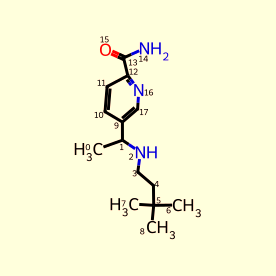 CC(NCCC(C)(C)C)c1ccc(C(N)=O)nc1